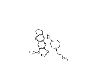 CCCN1CCC[C@@H](Nc2c3c(nc4cc(OC)c(OC)cc24)CCC3)CC1